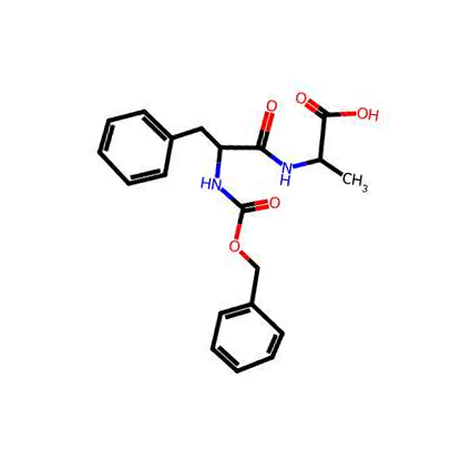 CC(NC(=O)C(Cc1ccccc1)NC(=O)OCc1ccccc1)C(=O)O